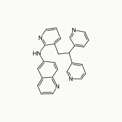 c1cncc(C(Cc2cccnc2Nc2ccc3ncccc3c2)c2cccnc2)c1